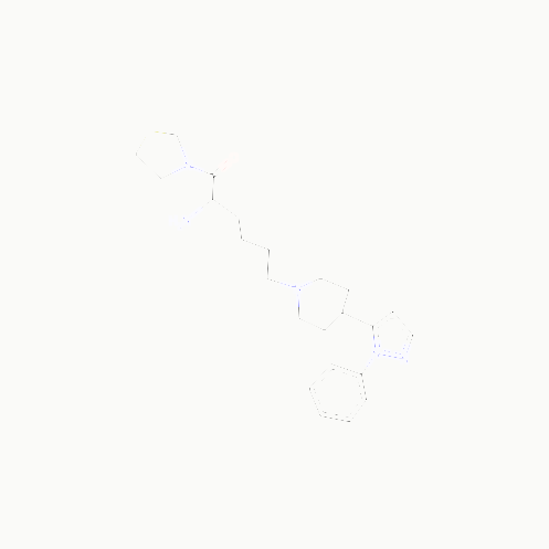 NC(CCCCN1CCC(c2ccnn2-c2ccccc2)CC1)C(=O)N1CCSC1